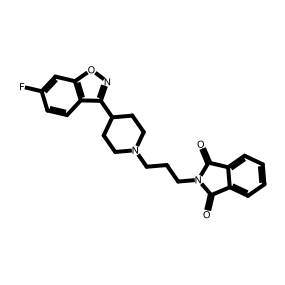 O=C1c2ccccc2C(=O)N1C[CH]CN1CCC(c2noc3cc(F)ccc23)CC1